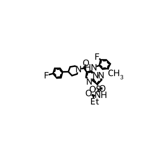 CCC(=O)NS(=O)(=O)c1cnn2c(Nc3cc(C)ccc3F)c(C(=O)N3CCC(c4ccc(F)cc4)CC3)cnc12